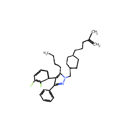 C=C(C)CCCC1CCC(Cn2nc(-c3ccccc3)c(C3CC=CC(F)=C3F)c2CCCC)CC1